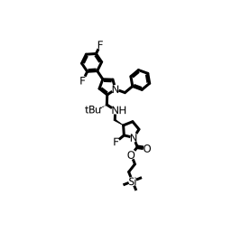 CC(C)(C)[C@@H](NC[C@H]1CCN(C(=O)OCC[Si](C)(C)C)C1F)c1cc(-c2cc(F)ccc2F)cn1Cc1ccccc1